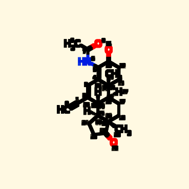 C#CC1=CC2=C(NC(C)=O)C(=O)CC[C@]2(C)[C@H]2CC[C@]3(C)C(=O)CC[C@H]3[C@H]12